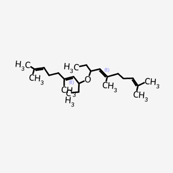 CCC(/C=C(\C)CCC=C(C)C)OC(/C=C(\C)CCC=C(C)C)CC